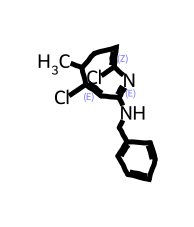 CC1C/C=C(Cl)/N=C(NCc2ccccc2)\C=C/1Cl